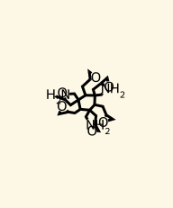 NCC1(CC2CO2)C(CC2CO2)C(CN)(CC2CO2)C(CC2CO2)C(CN)(CC2CO2)C1CC1CO1